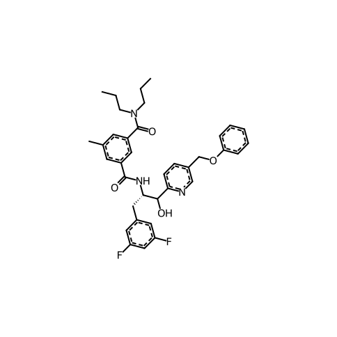 CCCN(CCC)C(=O)c1cc(C)cc(C(=O)N[C@@H](Cc2cc(F)cc(F)c2)C(O)c2ccc(COc3ccccc3)cn2)c1